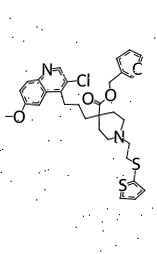 COc1ccc2ncc(Cl)c(CCCC3(C(=O)OCc4ccccc4)CCN(CCSc4cccs4)CC3)c2c1